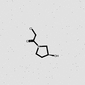 O=C(CCl)N1CC[C@H](O)C1